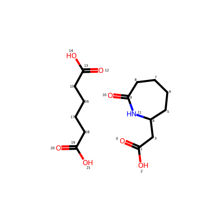 O=C(O)CC1CCCCC(=O)N1.O=C(O)CCCCC(=O)O